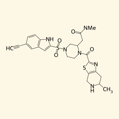 C#Cc1ccc2[nH]c(S(=O)(=O)N3CCN(C(=O)c4nc5c(s4)CNC(C)C5)C(CC(=O)NC)C3)cc2c1